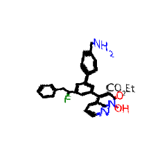 CCOC(=O)c1c(-c2cc(-c3ccc(CN)cc3)cc(C(F)Cc3ccccc3)c2)c2cccnc2n(O)c1=O